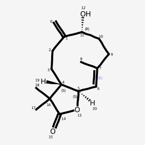 C=C1CC[C@@H]2[C@@H](/C=C(\C)CC[C@H]1O)OC(=O)C2(C)C